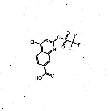 O=C(O)c1ccc2c(Cl)cc(OS(=O)(=O)C(F)(F)F)nc2c1